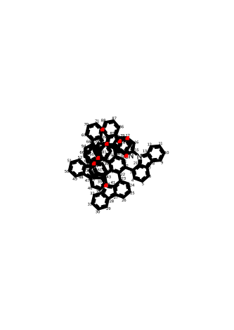 N#Cc1c(-c2cccc3c4ccccc4n(-c4ccccc4)c23)c(-c2cccc3c4ccccc4n(-c4ccccc4)c23)c(-c2cccc3c4ccccc4n(-c4ccccc4)c23)c(-c2cccc3c4ccccc4n(-c4ccccc4)c23)c1-c1nc2ccccc2n1-c1ccccc1